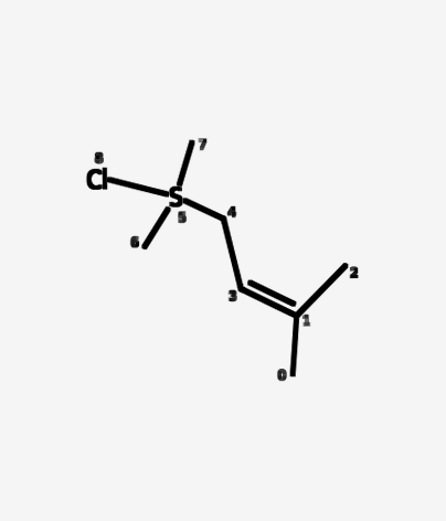 CC(C)=CCS(C)(C)Cl